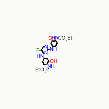 CCOC(=O)Nc1ccc(Nc2ncc(F)c(Nc3ccc(NC(=O)OCC)c(O)c3)n2)cc1O